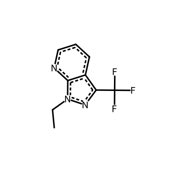 CCn1nc(C(F)(F)F)c2cccnc21